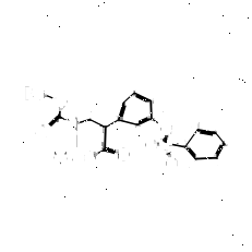 COC(=O)C(CNC(=O)OC(C)(C)C)c1cccc(OS(=O)(=O)c2ccccc2)c1